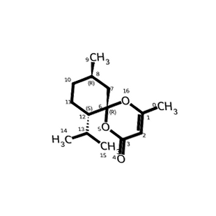 CC1=CC(=O)O[C@@]2(C[C@H](C)CC[C@H]2C(C)C)O1